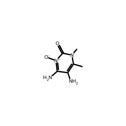 Cc1c(N)c(N)[n+]([O-])c(=O)n1C